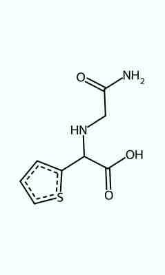 NC(=O)CNC(C(=O)O)c1cccs1